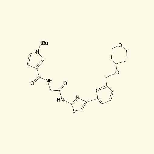 CC(C)(C)n1ccc(C(=O)NCC(=O)Nc2nc(-c3cccc(COC4CCOCC4)c3)cs2)c1